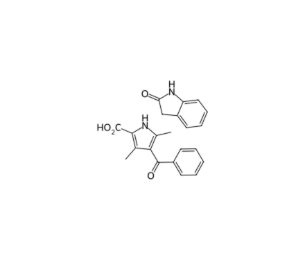 Cc1[nH]c(C(=O)O)c(C)c1C(=O)c1ccccc1.O=C1Cc2ccccc2N1